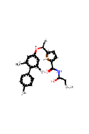 CCOC(=O)CC(O)NC(=O)c1ccc(C(Oc2cc(C)c(-c3ccc(C(C)(C)C)cc3)c(C)c2)C(C)C)s1